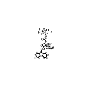 C[Si](C)(C)CCOC(=O)CC[C@]([NH-])(C(=O)O)C(=O)OCC1c2ccccc2-c2ccccc21.[Na+]